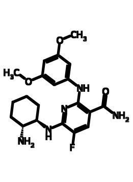 COc1cc(Nc2nc(N[C@@H]3CCCC[C@H]3N)c(F)cc2C(N)=O)cc(OC)c1